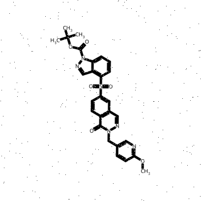 COc1ccc(Cn2ncc3cc(S(=O)(=O)c4cccc5c4cnn5C(=O)OC(C)(C)C)ccc3c2=O)cn1